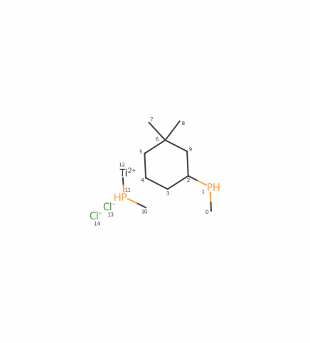 CPC1CCCC(C)(C)C1.C[PH][Ti+2].[Cl-].[Cl-]